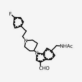 CC(=O)NCc1ccc2c(C=O)cn(C3CCN(CCc4ccc(F)cc4)CC3)c2c1